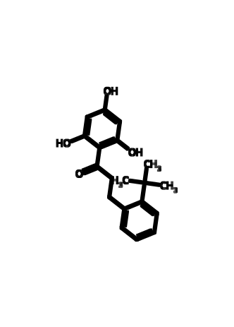 CC(C)(C)c1ccccc1CCC(=O)c1c(O)cc(O)cc1O